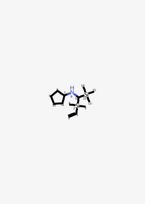 C=C[Si](C)(C)C(NC1CCCC1)[Si](C)(C)C